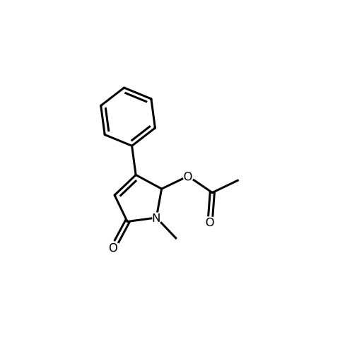 CC(=O)OC1C(c2ccccc2)=CC(=O)N1C